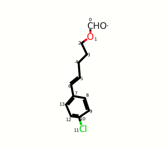 O=[C]OCCC/C=C/c1ccc(Cl)cc1